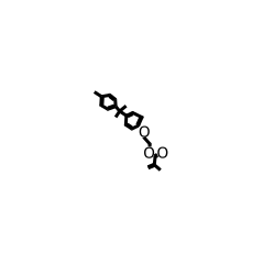 C=C(C)C(=O)OCCOc1ccc(C(C)(C)c2ccc(C)cc2)cc1